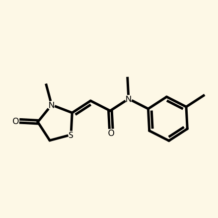 Cc1cccc(N(C)C(=O)C=C2SCC(=O)N2C)c1